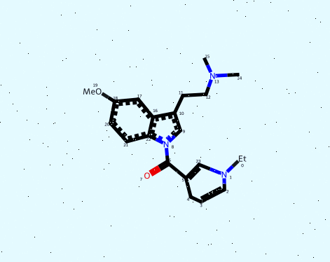 CCN1C=CCC(C(=O)n2cc(CCN(C)C)c3cc(OC)ccc32)=C1